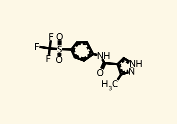 Cc1n[nH]cc1C(=O)Nc1ccc(S(=O)(=O)C(F)(F)F)cc1